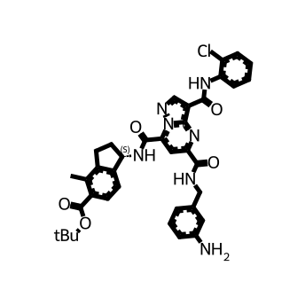 Cc1c(C(=O)OC(C)(C)C)ccc2c1CC[C@@H]2NC(=O)c1cc(C(=O)NCc2cccc(N)c2)nc2c(C(=O)Nc3ccccc3Cl)cnn12